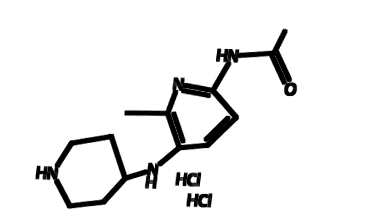 CC(=O)Nc1ccc(NC2CCNCC2)c(C)n1.Cl.Cl